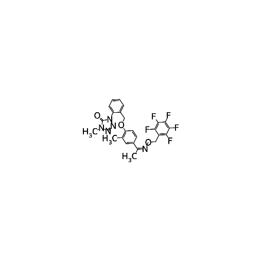 CC(=NOCc1c(F)c(F)c(F)c(F)c1F)c1ccc(OCc2ccccc2-n2nnn(C)c2=O)c(C)c1